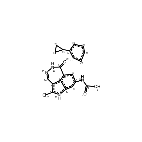 O=C(O)Nc1cc2c3c(c(Cl)[nH]c3c1)C=NNC2=O.c1ccc(C2CC2)cc1